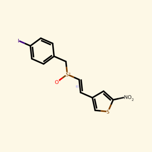 O=[N+]([O-])c1cc(/C=C/[S+]([O-])Cc2ccc(I)cc2)cs1